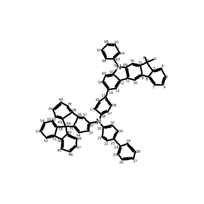 CC1(C)c2ccccc2-c2cc3c4cc(-c5ccc(N(c6ccc(-c7ccccc7)cc6)c6ccc7c(c6)-c6ccccc6C76c7ccccc7-c7ccccc76)cc5)ccc4n(-c4ccccc4)c3cc21